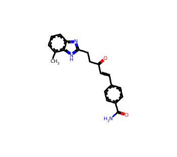 Cc1cccc2nc(CCC(=O)C=Cc3ccc(C(N)=O)cc3)[nH]c12